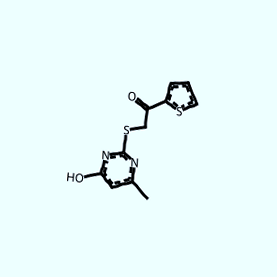 Cc1cc(O)nc(SCC(=O)c2cccs2)n1